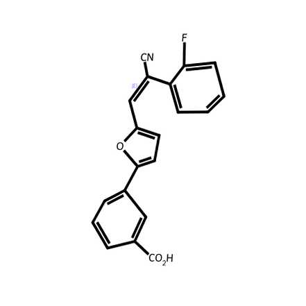 N#C/C(=C/c1ccc(-c2cccc(C(=O)O)c2)o1)c1ccccc1F